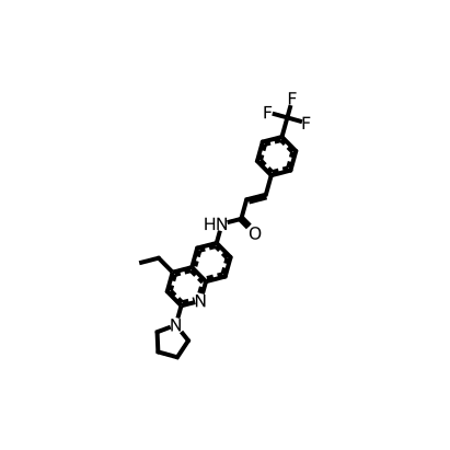 CCc1cc(N2CCCC2)nc2ccc(NC(=O)/C=C/c3ccc(C(F)(F)F)cc3)cc12